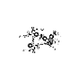 C=c1ccc2c(c1)[Si](C)(C)c1cc(N(C)C)ccc1C=2c1ccc(C(=O)Nc2ccc(N(CC(=O)OCOC(C)=O)CC(=O)OCOC(C)=O)c(OCCOc3ccccc3N(CC(=O)OCOC(C)=O)CC(=O)OCOC(C)=O)c2)cc1C(=O)O